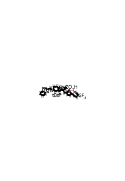 CCC(CC)(C(=O)O)C(Cc1ccc(-c2ccc(C(F)(F)F)cn2)cc1)c1[nH]c2ccc(OCc3cnc4ccccc4n3)cc2c1SC(C)(C)C